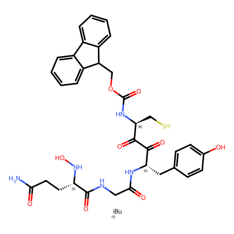 CC[C@H](C)C(NC(=O)[C@H](CCC(N)=O)NO)C(=O)N[C@@H](Cc1ccc(O)cc1)C(=O)C(=O)[C@H](CS)NC(=O)OCC1c2ccccc2-c2ccccc21